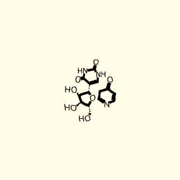 O=C1C=CN=CC1.O=c1[nH]cc([C@@H]2O[C@H](CO)[C@@H](O)[C@H]2O)c(=O)[nH]1